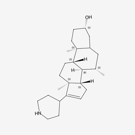 C[C@H]1CC2C[C@@H](O)CC[C@]2(C)[C@H]2CC[C@]3(C)C(C4CCNCC4)=CC[C@H]3[C@H]12